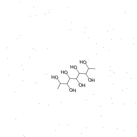 CC(O)C(O)C(O)C(O)C(O)C(O)C(C)O